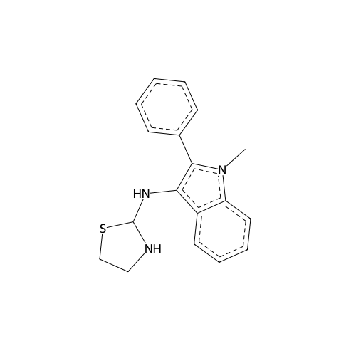 Cn1c(-c2ccccc2)c(NC2NCCS2)c2ccccc21